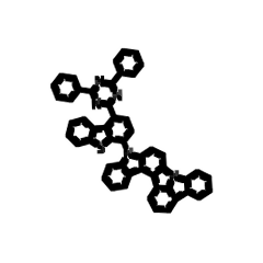 c1ccc(-c2nc(-c3ccccc3)nc(-c3ccc(-n4c5ccccc5c5c6c7cccc8c9ccccc9n(c6ccc54)c87)c4sc5ccccc5c34)n2)cc1